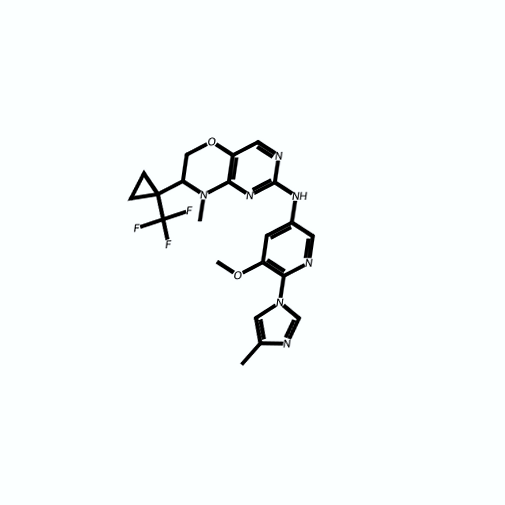 COc1cc(Nc2ncc3c(n2)N(C)C(C2(C(F)(F)F)CC2)CO3)cnc1-n1cnc(C)c1